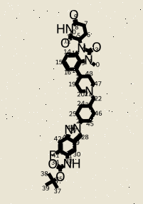 Cn1c(=O)n(C2CCC(=O)NC2=O)c2cccc(C3CCN(CC4CCC(n5cc6cc(NC(=O)OC(C)(C)C)c(F)cc6n5)CC4)CC3)c21